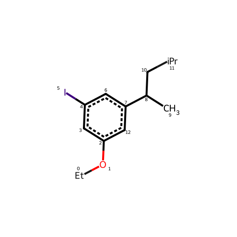 CCOc1cc(I)cc(C(C)CC(C)C)c1